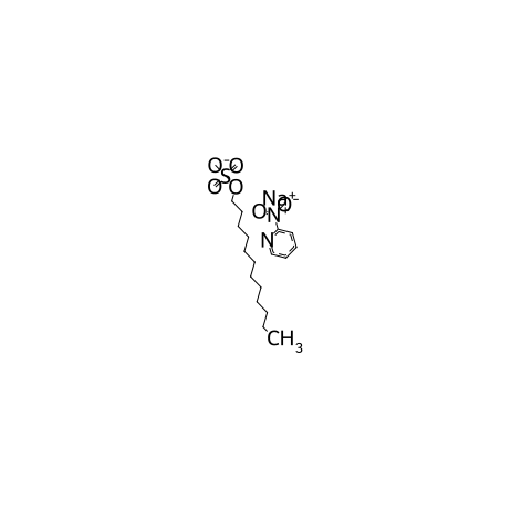 CCCCCCCCCCCCOS(=O)(=O)[O-].O=[N+]([O-])c1ccccn1.[Na+]